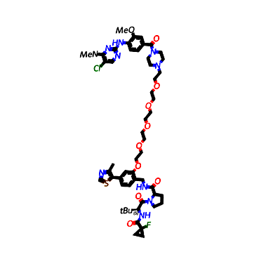 CNc1nc(Nc2ccc(C(=O)N3CCN(CCOCCOCCOCCOCCOc4cc(-c5scnc5C)ccc4CNC(=O)C4CCCN4C(=O)[C@@H](NC(=O)C4(F)CC4)C(C)(C)C)CC3)cc2OC)ncc1Cl